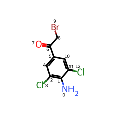 Nc1c(Cl)cc(C(=O)CBr)cc1Cl